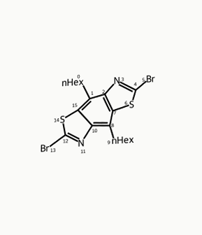 CCCCCCc1c2nc(Br)sc2c(CCCCCC)c2nc(Br)sc12